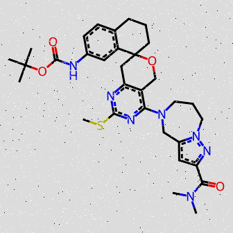 CSc1nc2c(c(N3CCCn4nc(C(=O)N(C)C)cc4C3)n1)COC1(CCCc3ccc(NC(=O)OC(C)(C)C)cc31)C2